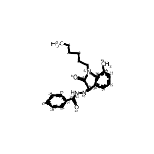 CCCCCCN1C(=O)C(=NNC(=O)c2ccccc2)c2cccc(C)c21